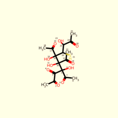 CC(=O)C(=O)C(O)(C(C)=O)C(O)(C(C)=O)C(O)(C(C)=O)C(S)C(O)C(C)=O